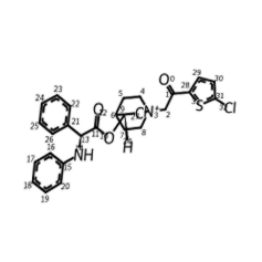 O=C(C[N+]12CCC(CC1)[C@@H](OC(=O)[C@@H](Nc1ccccc1)c1ccccc1)C2)c1ccc(Cl)s1